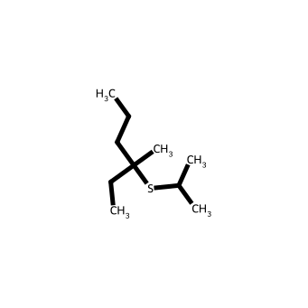 CCCC(C)(CC)SC(C)C